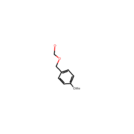 COc1ccc(COC[O])cc1